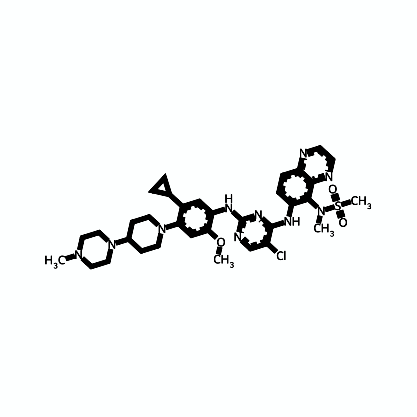 COc1cc(N2CCC(N3CCN(C)CC3)CC2)c(C2CC2)cc1Nc1ncc(Cl)c(Nc2ccc3nccnc3c2N(C)S(C)(=O)=O)n1